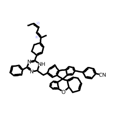 C/C=C\C=C(/C)C1=CC=C(C2=NC(c3ccccc3)=NC(Cc3ccc4c(c3)C3(C5=CCC=CCC5Oc5ccccc53)c3cc(-c5ccc(C#N)cc5)ccc3-4)N2)CC1